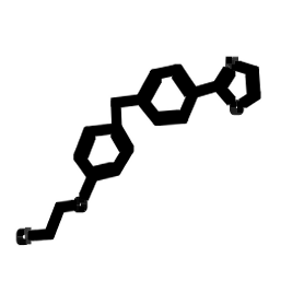 ClCCOc1ccc(Cc2ccc(-c3ncco3)cc2)cc1